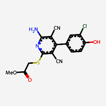 COC(=O)CSc1nc(N)c(C#N)c(-c2ccc(O)c(Cl)c2)c1C#N